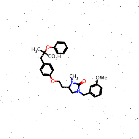 COc1cccc(CN2CC(CCOc3ccc(CC(C)(Oc4ccccc4)C(=O)O)cc3)N(C)C2=O)c1